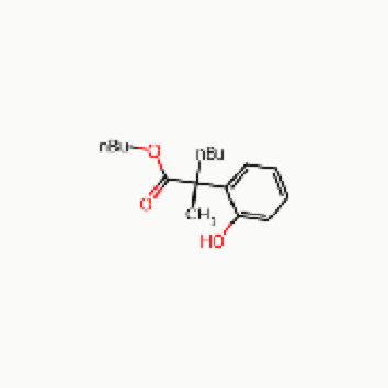 CCCCOC(=O)C(C)(CCCC)c1ccccc1O